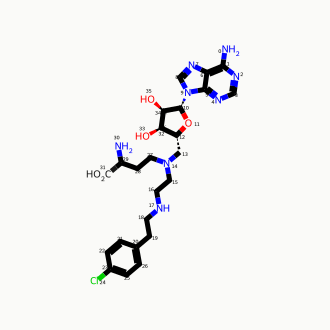 Nc1ncnc2c1ncn2[C@@H]1O[C@H](CN(CCNCCc2ccc(Cl)cc2)CCC(N)C(=O)O)[C@@H](O)[C@H]1O